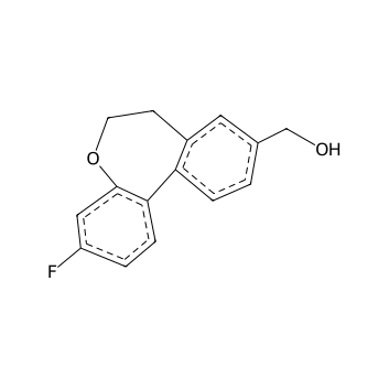 OCc1ccc2c(c1)CCOc1cc(F)ccc1-2